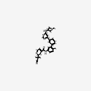 Cc1ccc(NC(=O)C2=CC=NC(C(C)(C)C#N)C2)cc1-c1cccc(-c2cc(NC3CN(C)C3)ncn2)c1